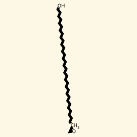 C1CO1.CCCCCCCCCCCCCCCCCCCCCCCCCCCCCCCCCCO